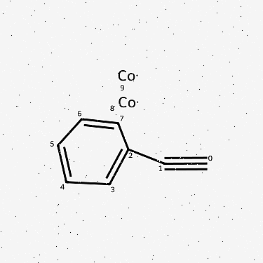 C#Cc1ccccc1.[Co].[Co]